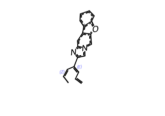 C=C/C=C(\C=C/C)c1cn2cc3oc4ccccc4c3cc2n1